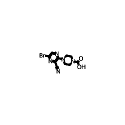 N#Cc1nc(Br)cnc1N1CCN(C(=O)O)CC1